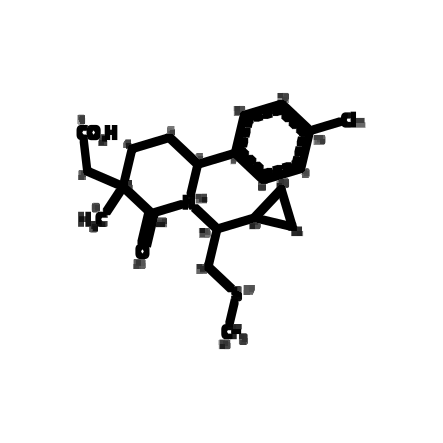 CC1(CC(=O)O)CCC(c2ccc(Cl)cc2)N(C(CSC(F)(F)F)C2CC2)C1=O